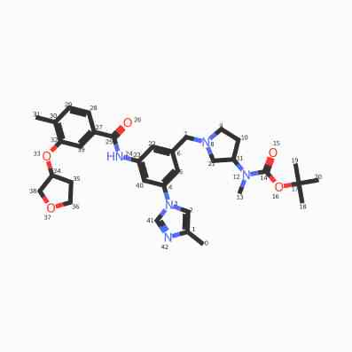 Cc1cn(-c2cc(CN3CCC(N(C)C(=O)OC(C)(C)C)C3)cc(NC(=O)c3ccc(C)c(OC4CCOC4)c3)c2)cn1